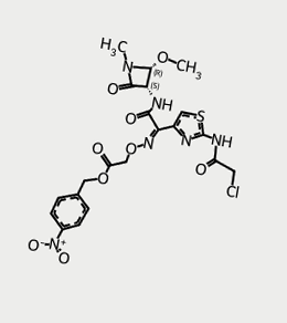 CO[C@@H]1[C@H](NC(=O)C(=NOCC(=O)OCc2ccc([N+](=O)[O-])cc2)c2csc(NC(=O)CCl)n2)C(=O)N1C